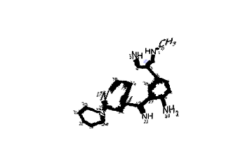 CN/C=C(\C=N)c1ccc(N)c(C(=N)c2ccnc(N3CCCCC3)c2)c1